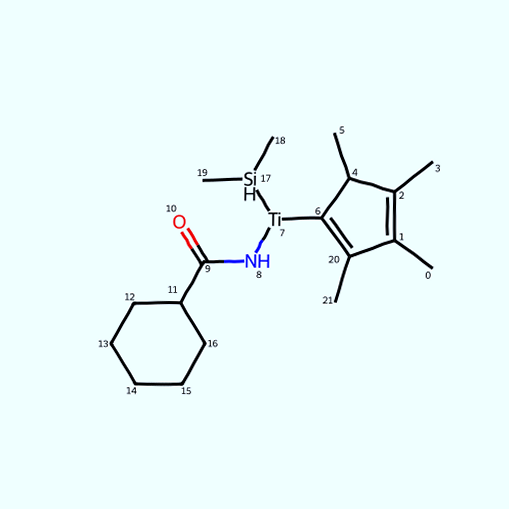 CC1=C(C)C(C)[C]([Ti]([NH]C(=O)C2CCCCC2)[SiH](C)C)=C1C